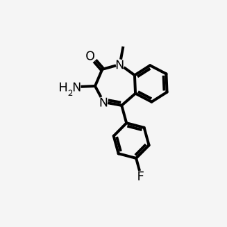 CN1C(=O)C(N)N=C(c2ccc(F)cc2)c2ccccc21